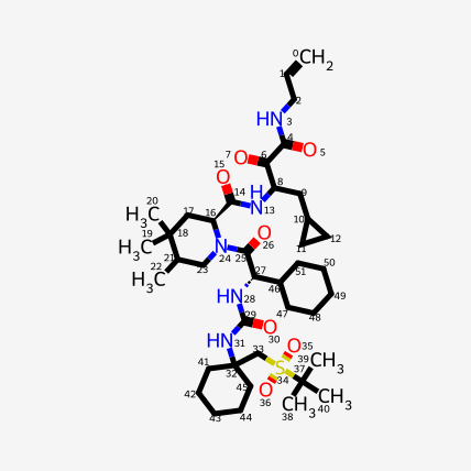 C=CCNC(=O)C(=O)C(CC1CC1)NC(=O)[C@@H]1CC(C)(C)C(C)CN1C(=O)[C@@H](NC(=O)NC1(CS(=O)(=O)C(C)(C)C)CCCCC1)C1CCCCC1